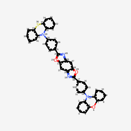 c1ccc2c(c1)Oc1ccccc1N2c1ccc(-c2nc3cc4oc(-c5ccc(N6c7ccccc7Sc7ccccc76)cc5)nc4cc3o2)cc1